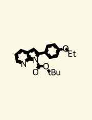 CCOc1ccc(-c2cc3cccnc3n2C(=O)OC(C)(C)C)cc1